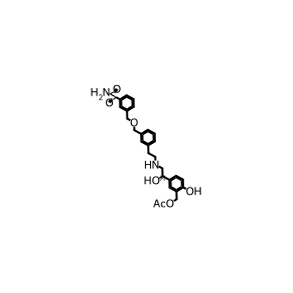 CC(=O)OCc1cc([C@@H](O)CNCCc2cccc(COCc3cccc(S(N)(=O)=O)c3)c2)ccc1O